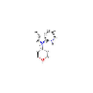 Cc1cn(C2CCOCC2)c2ncccc12